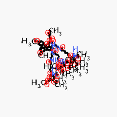 COc1ccc(C(OCC(OC(=O)CCC(C)=O)C(=O)N(CCCNC(=O)CCCCCO[C@@H]2OC(COC(C)=O)[C@H](OC(C)=O)[C@H](C)C2NC(C)=O)CCCN(CCCNC(=O)CCCCCO[C@@H]2OC(COC(C)=O)[C@H](OC(C)=O)[C@H](C)C2NC(C)=O)C(=O)CCCCCO[C@@H]2OC(COC(C)=O)[C@H](OC(C)=O)[C@H](C)C2NC(C)=O)(c2ccccc2)c2ccc(OC)cc2)cc1